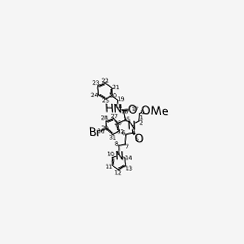 COCCN(C(=O)CCCN1C=CC=CC1)C(C(=O)NCc1ccccc1)c1ccc(Br)cc1